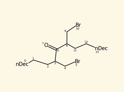 CCCCCCCCCCCCC(CBr)C(=O)C(CBr)CCCCCCCCCCCC